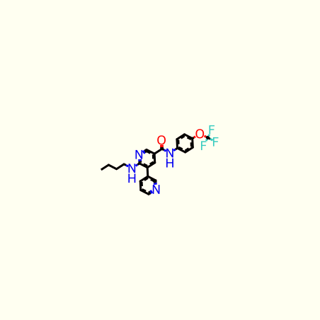 CCCCNc1ncc(C(=O)Nc2ccc(OC(F)(F)F)cc2)cc1-c1cccnc1